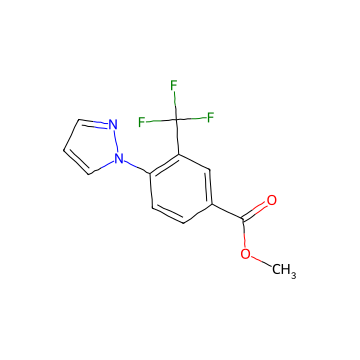 COC(=O)c1ccc(-n2cccn2)c(C(F)(F)F)c1